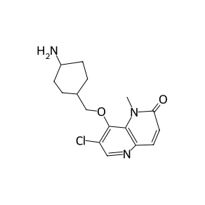 Cn1c(=O)ccc2ncc(Cl)c(OCC3CCC(N)CC3)c21